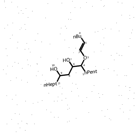 CCCCC=COC(CCCCC)C(O)CC(O)CCCCCCC